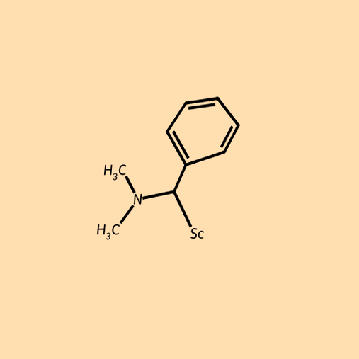 CN(C)[CH]([Sc])c1ccccc1